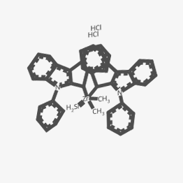 Cl.Cl.[CH3][Zr]([CH3])(=[SiH2])([CH]1c2ccccc2-c2c1n(-c1ccccc1)c1ccccc21)[CH]1c2ccccc2-c2c1n(-c1ccccc1)c1ccccc21